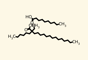 CCCCCCCCCC(=O)O.CCCCCCCCCCCCCCC(CC)(CCCCCC)C(=O)O